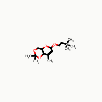 CC1=CC(OCC[Si](C)(C)C)OC2COC(C)(C)OC12